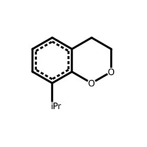 CC(C)c1cccc2c1OOCC2